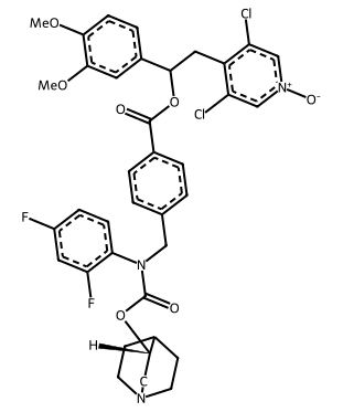 COc1ccc(C(Cc2c(Cl)c[n+]([O-])cc2Cl)OC(=O)c2ccc(CN(C(=O)O[C@H]3CN4CCC3CC4)c3ccc(F)cc3F)cc2)cc1OC